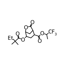 CCC(C)(C)C(=O)OC1CC(C(=O)OC(C)C(F)(F)F)C2CC1OC2=O